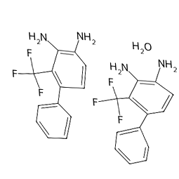 Nc1ccc(-c2ccccc2)c(C(F)(F)F)c1N.Nc1ccc(-c2ccccc2)c(C(F)(F)F)c1N.O